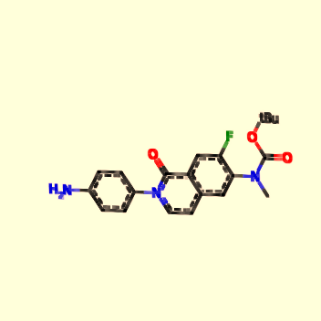 CN(C(=O)OC(C)(C)C)c1cc2ccn(-c3ccc(N)cc3)c(=O)c2cc1F